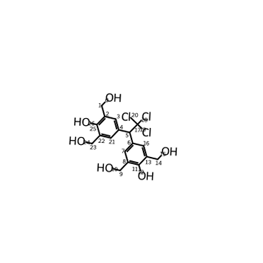 OCc1cc(C(c2cc(CO)c(O)c(CO)c2)C(Cl)(Cl)Cl)cc(CO)c1O